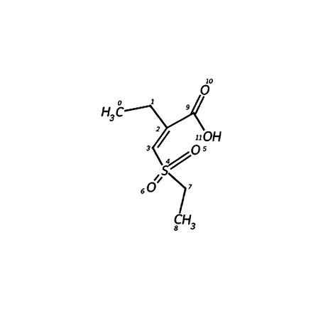 CCC(=CS(=O)(=O)CC)C(=O)O